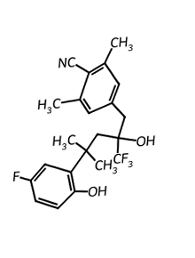 Cc1cc(CC(O)(CC(C)(C)c2cc(F)ccc2O)C(F)(F)F)cc(C)c1C#N